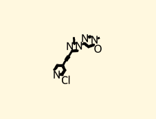 Cc1nc(C#Cc2ccnc(Cl)c2)cn1-c1cc(=O)n(C)cn1